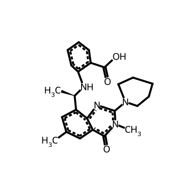 Cc1cc([C@@H](C)Nc2ccccc2C(=O)O)c2nc(N3CCCCC3)n(C)c(=O)c2c1